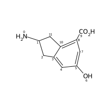 NC1Cc2cc(O)cc(C(=O)O)c2C1